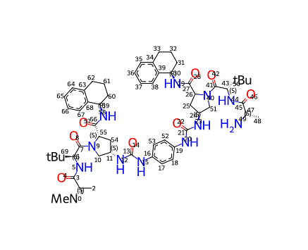 CN[C@@H](C)C(=O)N[C@H](C(=O)N1C[C@@H](NC(=O)Nc2ccc(NC(=O)N[C@H]3CC(C(=O)N[C@@H]4CCCc5ccccc54)N(C(=O)[C@@H](NC(=O)[C@H](C)N)C(C)(C)C)C3)cc2)C[C@H]1C(=O)N[C@@H]1CCCc2ccccc21)C(C)(C)C